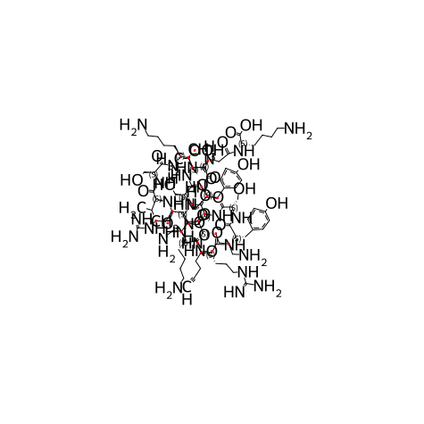 C#CCCC(=O)N[C@@H](CCCCN)C(=O)NCC(=O)N[C@H](C(=O)N[C@@H](CO)C(=O)N[C@@H](CCCCN)C(=O)N[C@@H](CO)C(=O)N[C@@H](Cc1ccc(O)cc1)C(=O)N[C@@H](CCCNC(=N)N)C(=O)N[C@@H](CCCCN)C(=O)N[C@@H](CCCNC(=N)N)C(=O)N[C@@H](Cc1ccc(O)cc1)C(=O)N[C@@H](CO)C(=O)N[C@@H](CCCCN)C(=O)N[C@@H](CO)C(=O)N[C@H](C(=O)NCC(=O)N[C@@H](CCCCN)C(=O)O)C(C)C)C(C)C